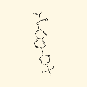 C=C(C)C(=O)Oc1ccc2cc(-c3ccc(C(F)(F)F)cc3)ccc2c1